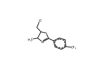 CC1N=C(c2ccc(C(F)(F)F)cc2)SC1CCl